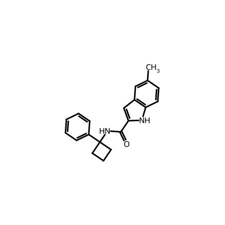 Cc1ccc2[nH]c(C(=O)NC3(c4ccccc4)CCC3)cc2c1